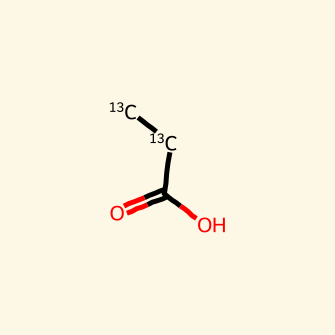 [13CH3][13CH2]C(=O)O